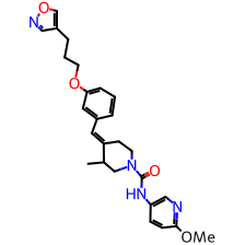 COc1ccc(NC(=O)N2CCC(=Cc3cccc(OCCCc4cnoc4)c3)C(C)C2)cn1